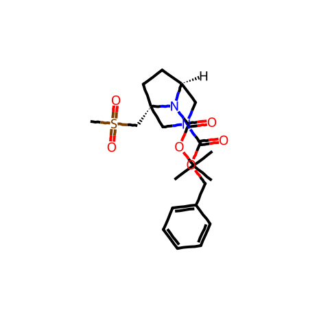 CC(C)(C)OC(=O)N1[C@H]2CC[C@]1(CS(C)(=O)=O)CN(C(=O)OCc1ccccc1)C2